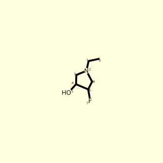 CCN1CC(O)C(F)C1